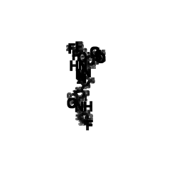 Cc1cc(-c2ccc3nc(Nc4ccc(S(C)(=O)=O)cc4OCC(F)(F)F)nn3c2)ccc1C(=O)NCc1ccc(F)cc1